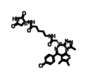 Cc1sc2c(c1C)C(c1ccc(Cl)cc1)=N[C@H](CC(=O)NCCCCC(=O)N[C@H]1CC(=O)NC1=O)c1nnc(C)n1-2